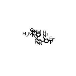 NCc1cc(C(F)(F)F)ccc1-c1cc(Oc2cccc3[nH]c(=O)c(N)nc23)ncn1